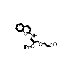 CC(C)O/C(=C/NC1C=Cc2ccccc2O1)COCC=C=O